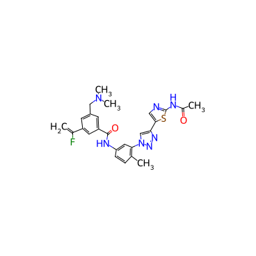 C=C(F)c1cc(CN(C)C)cc(C(=O)Nc2ccc(C)c(-n3cc(-c4cnc(NC(C)=O)s4)nn3)c2)c1